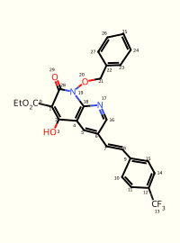 CCOC(=O)c1c(O)c2cc(/C=C/c3ccc(C(F)(F)F)cc3)cnc2n(OCc2ccccc2)c1=O